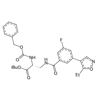 CCc1oncc1-c1cc(F)cc(C(=O)NC[C@@H](NC(=O)OCc2ccccc2)C(=O)OCC(C)C)c1